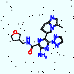 Cc1cnc2ccc(-c3nc(C(=O)NCC4CCOC4)c(N)nc3-n3nccn3)cn12